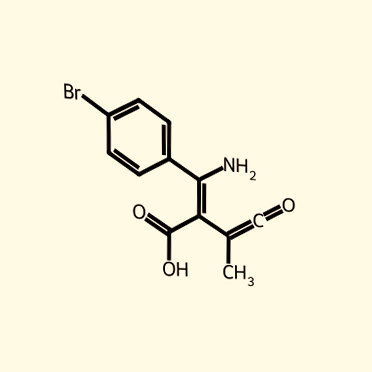 CC(=C=O)C(C(=O)O)=C(N)c1ccc(Br)cc1